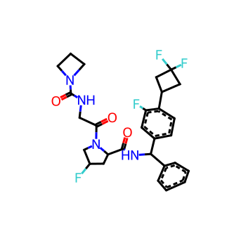 O=C(NC(c1ccccc1)c1ccc(C2CC(F)(F)C2)c(F)c1)C1CC(F)CN1C(=O)CNC(=O)N1CCC1